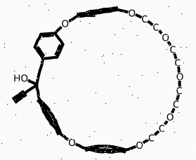 C#CC1(O)c2ccc(cc2)Oc2ccc(cc2)OCCOCCOCCOCCOc2ccc(cc2)Oc2ccc1cc2